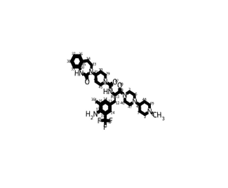 CN1CCC(N2CCN(C(=O)[C@@H](Cc3cc(I)c(N)c(C(F)(F)F)c3)NC(=O)N3CCC(N4CCc5ccccc5NC4=O)CC3)CC2)CC1